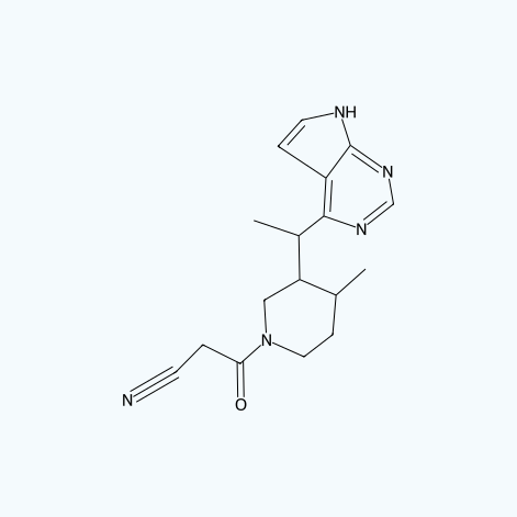 CC1CCN(C(=O)CC#N)CC1C(C)c1ncnc2[nH]ccc12